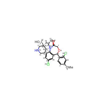 COc1ccc(C2OCC(=O)[N+](CC(C)(C)C)([C@@H]3CCNC[C@@]3(C(C)=O)C(=O)O)c3ccc(Cl)cc32)c(Cl)c1